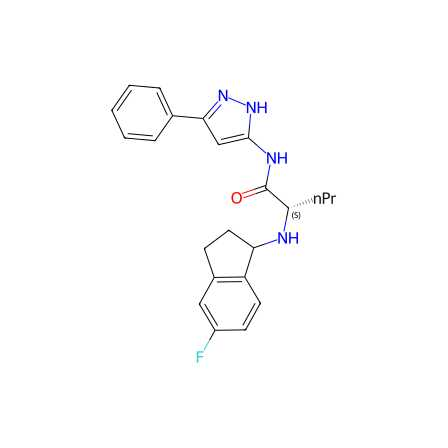 CCC[C@H](NC1CCc2cc(F)ccc21)C(=O)Nc1cc(-c2ccccc2)n[nH]1